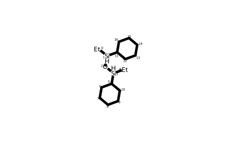 CC[SiH](O[SiH](CC)C1CCCCC1)C1CCCCC1